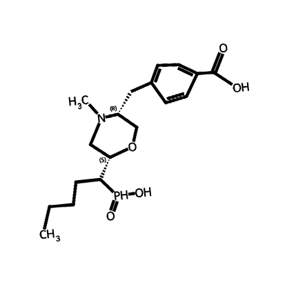 CCCCC([C@@H]1CN(C)[C@H](Cc2ccc(C(=O)O)cc2)CO1)[PH](=O)O